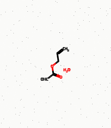 C=CCOC(=O)C=O.O